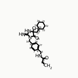 C=CC(=O)NCc1ccc(CN2C(=N)NC(C)(CC3CCCCC3)C2=O)cc1